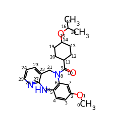 COc1ccc2c(c1)N(C(=O)C1CCC(OC(C)C)CC1)Cc1cccnc1N2